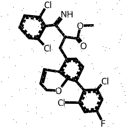 COC(=O)C(Cc1ccc(-c2c(Cl)cc(F)cc2Cl)c2c1C=CCO2)C(=N)c1c(Cl)cccc1Cl